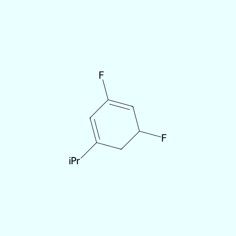 CC(C)C1=CC(F)=CC(F)C1